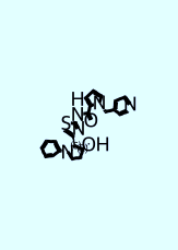 O=C(Nc1nc([C@H]2[C@H](O)CCN2c2ccccc2)cs1)c1cccn1Cc1ccncc1